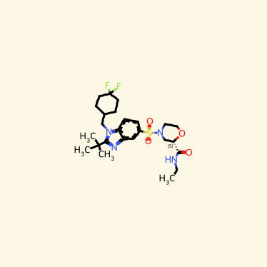 CCNC(=O)[C@@H]1CN(S(=O)(=O)c2ccc3c(c2)nc(C(C)(C)C)n3CC2CCC(F)(F)CC2)CCO1